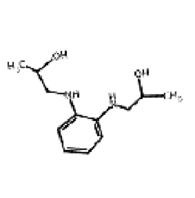 CC(O)CNc1ccccc1NCC(C)O